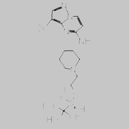 CC(C)(C)[Si](C)(C)OCCN1CCC[C@H](Nc2ccn3ncc(Br)c3n2)C1